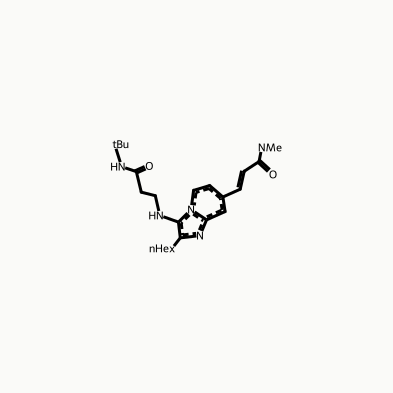 CCCCCCc1nc2cc(/C=C/C(=O)NC)ccn2c1NCCC(=O)NC(C)(C)C